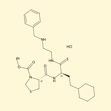 CC(C)OC(=O)N1CSC[C@H]1C(=O)N[C@H](CCC1CCCCC1)C(=S)NCCNCc1ccccc1.Cl